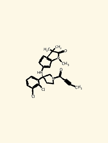 CC#CC(=O)N1CC[C@@](Nc2ccc3c(c2)N(C)C(=O)C3(C)C)(c2cccc(Cl)c2Cl)C1